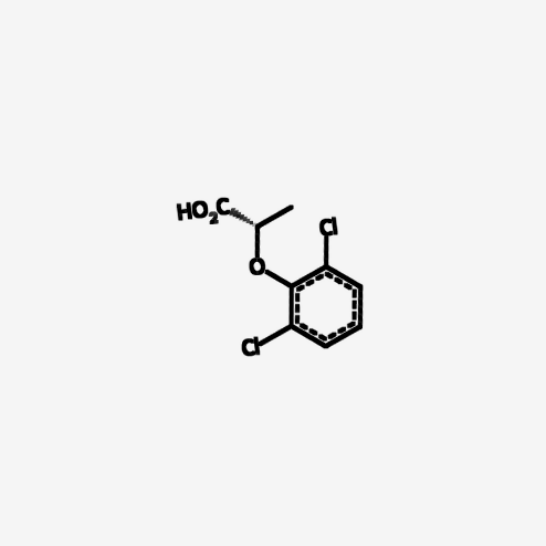 C[C@H](Oc1c(Cl)cccc1Cl)C(=O)O